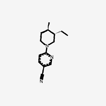 CC[C@@H]1CN(c2ccc(C#N)cn2)CC[C@H]1C